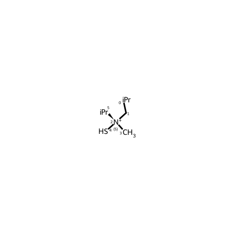 CC(C)C[N@+](C)(S)C(C)C